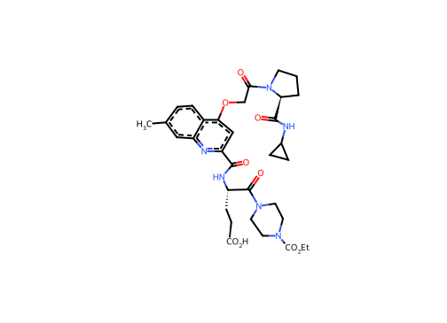 CCOC(=O)N1CCN(C(=O)[C@H](CCC(=O)O)NC(=O)c2cc(OCC(=O)N3CCC[C@H]3C(=O)NC3CC3)c3ccc(C)cc3n2)CC1